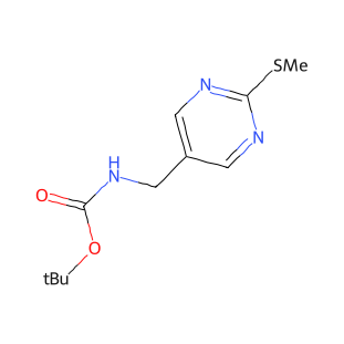 CSc1ncc(CNC(=O)OC(C)(C)C)cn1